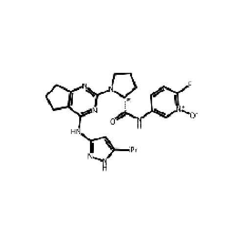 CC(C)c1cc(Nc2nc(N3CCC[C@@H]3C(=O)Nc3ccc(F)[n+]([O-])c3)nc3c2CCC3)n[nH]1